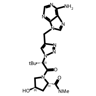 CNC(=O)[C@@H]1C[C@@H](O)CN1C(=O)[C@@H](n1cc(Cn2cnc3c(N)ncnc32)nn1)C(C)(C)C